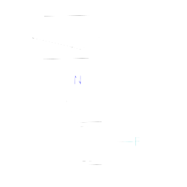 Fc1cccc(C=NC23CC4CC(CC(C4)C2)C3)c1